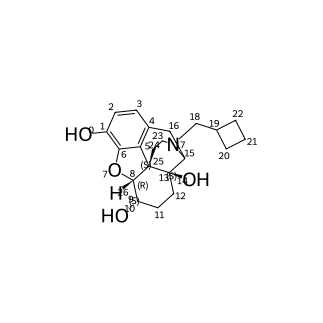 Oc1ccc2c3c1O[C@H]1[C@@H](O)CC[C@@]4(O)C(C2)N(CC2CCC2)CC[C@]314